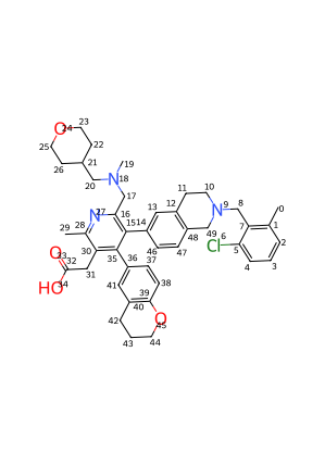 Cc1cccc(Cl)c1CN1CCc2cc(-c3c(CN(C)CC4CCOCC4)nc(C)c(CC(=O)O)c3-c3ccc4c(c3)CCCO4)ccc2C1